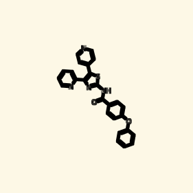 O=C(Nc1nc(-c2ccccn2)c(-c2ccncc2)s1)c1ccc(Oc2ccccc2)cc1